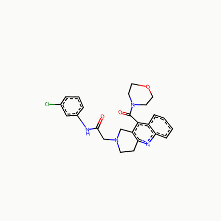 O=C(CN1CCc2nc3ccccc3c(C(=O)N3CCOCC3)c2C1)Nc1cccc(Cl)c1